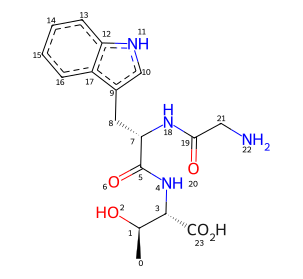 C[C@@H](O)[C@H](NC(=O)[C@H](Cc1c[nH]c2ccccc12)NC(=O)CN)C(=O)O